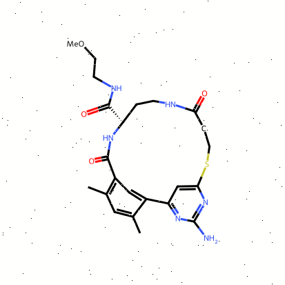 COCCNC(=O)[C@@H]1CCNC(=O)CCSc2cc(nc(N)n2)-c2cc(c(C)cc2C)C(=O)N1